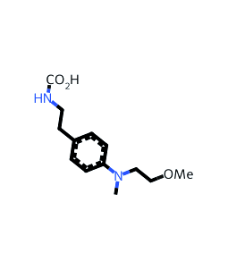 COCCN(C)c1ccc(CCNC(=O)O)cc1